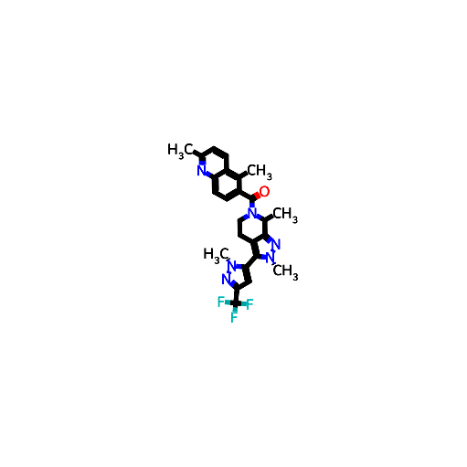 Cc1ccc2c(C)c(C(=O)N3CCc4c(nn(C)c4-c4cc(C(F)(F)F)nn4C)C3C)ccc2n1